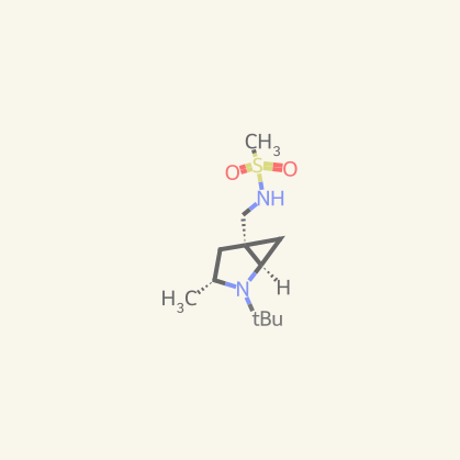 C[C@@H]1C[C@@]2(CNS(C)(=O)=O)C[C@H]2N1C(C)(C)C